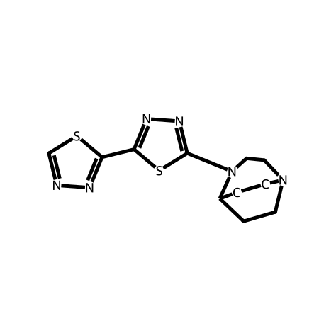 c1nnc(-c2nnc(N3CCN4CCC3CC4)s2)s1